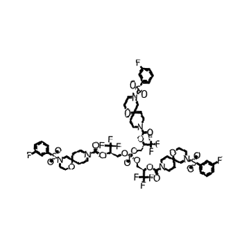 O=C(O[C@H](COP(=O)(OC[C@@H](OC(=O)N1CCC2(CC1)CN(S(=O)(=O)c1cccc(F)c1)CCO2)C(F)(F)F)OC[C@@H](OC(=O)N1CCC2(CC1)CN(S(=O)(=O)c1cccc(F)c1)CCO2)C(F)(F)F)C(F)(F)F)N1CCC2(CC1)CN(S(=O)(=O)c1cccc(F)c1)CCO2